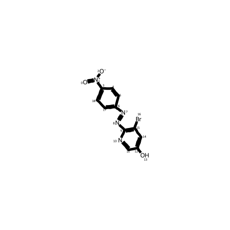 O=[N+]([O-])c1ccc(N=Nc2ncc(O)cc2Br)cc1